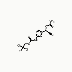 CC(=O)OC(C#N)c1csc(NC(=O)OCC(Cl)(Cl)Cl)n1